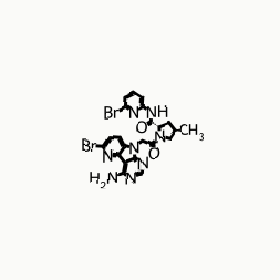 C[C@@H]1C[C@@H](C(=O)Nc2cccc(Br)n2)N(C(=O)Cn2c3ccc(Br)nc3c3c(N)ncnc32)C1